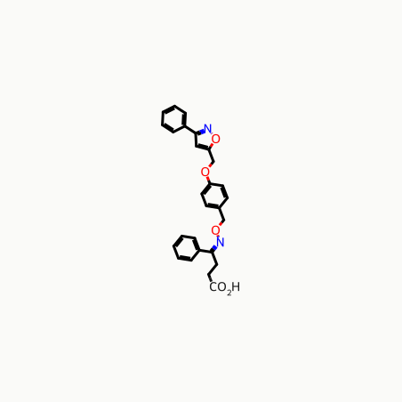 O=C(O)CCC(=NOCc1ccc(OCc2cc(-c3ccccc3)no2)cc1)c1ccccc1